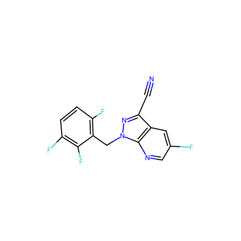 N#Cc1nn(Cc2c(F)ccc(F)c2F)c2ncc(F)cc12